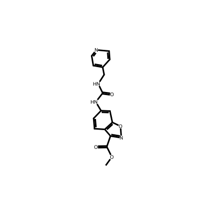 COC(=O)c1noc2cc(NC(=O)NCc3ccncc3)ccc12